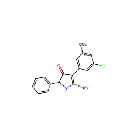 CNC1=C(c2cc(Cl)cc(OC)c2)C(=O)C(c2ccccc2)N1